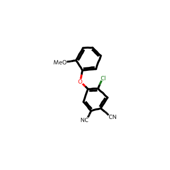 COc1ccccc1Oc1cc(C#N)c(C#N)cc1Cl